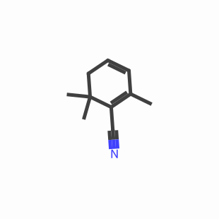 CC1=C(C#N)C(C)(C)CC=C1